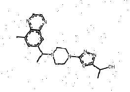 Cc1cc(C(C)N2CCN(c3nnc(C(C)O)s3)CC2)cc2nccnc12